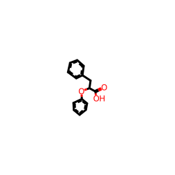 O=C(O)C(Cc1ccccc1)Oc1ccccc1